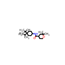 CC(C)C1(C(C)(C)C)CCC(NC(=O)C2CCOC(C)(C)C2)CC1